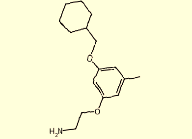 Cc1cc(OCCN)cc(OCC2CCCCC2)c1